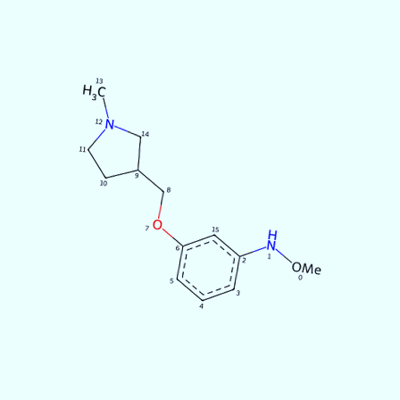 CONc1cccc(OCC2CCN(C)C2)c1